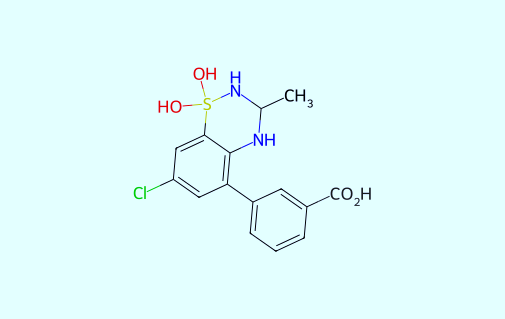 CC1Nc2c(-c3cccc(C(=O)O)c3)cc(Cl)cc2S(O)(O)N1